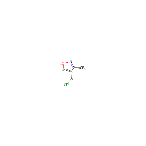 FC(F)(F)c1nocc1CCl